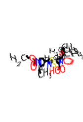 C=CCOC(=O)N1CC=C(c2csc(SC3=C(C(=O)O)N4C(=O)[C@H]([C@@H](C)O[Si](C)(C)C)[C@H]4[C@H]3C)n2)C[C@H]1CC